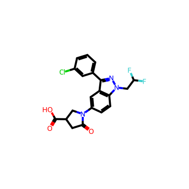 O=C(O)C1CC(=O)N(c2ccc3c(c2)c(-c2cccc(Cl)c2)nn3CC(F)F)C1